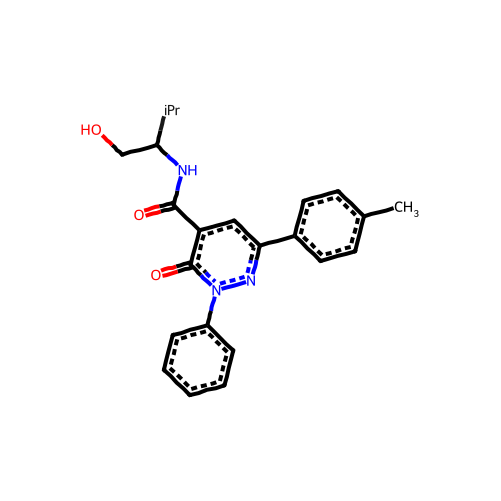 Cc1ccc(-c2cc(C(=O)NC(CO)C(C)C)c(=O)n(-c3ccccc3)n2)cc1